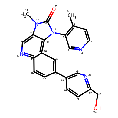 Cc1ccncc1-n1c(=O)n(C)c2cnc3ccc(-c4ccc(CO)nc4)cc3c21